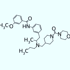 CCCN(CC1CCN(C(=O)N2CCOCC2)CC1)C(C)Cc1cccc(NC(=O)c2cccc(OC)c2)c1